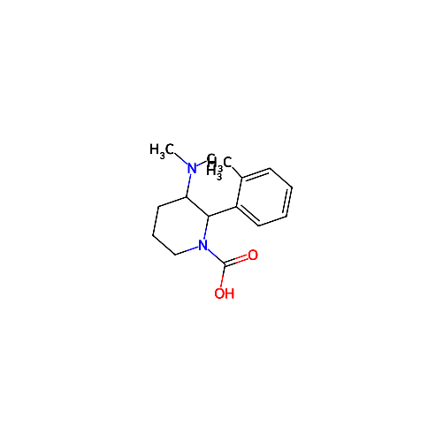 Cc1ccccc1C1C(N(C)C)CCCN1C(=O)O